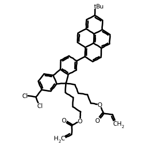 C=CC(=O)OCCCCC1(CCCCOC(=O)C=C)c2cc(-c3ccc4ccc5cc(C(C)(C)C)cc6ccc3c4c56)ccc2-c2ccc(C(Cl)Cl)cc21